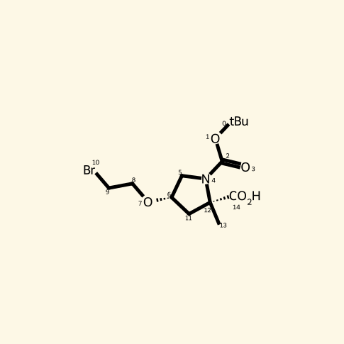 CC(C)(C)OC(=O)N1C[C@@H](OCCBr)C[C@@]1(C)C(=O)O